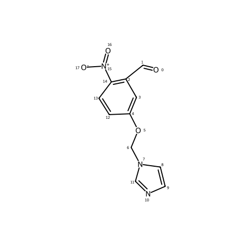 O=Cc1cc(OCn2ccnc2)ccc1[N+](=O)[O-]